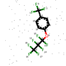 FC(F)(F)c1ccc(OC(F)(F)C(F)(F)C(F)(F)F)cc1